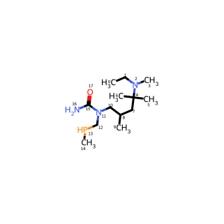 CCN(C)C(C)(C)CC(C)CN(CPC)C(N)=O